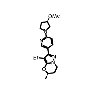 CCc1c(-c2ccc(N3CC[C@@H](OC)C3)nc2)nn2c1O[C@H](C)CC2